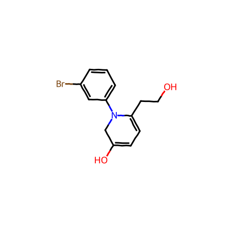 OCCC1=CC=C(O)CN1c1cccc(Br)c1